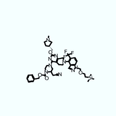 CN1CC[C@@H](COc2nc3c(c(N4CCN(C(=O)OCc5ccccc5)C(CC#N)C4)n2)CCN(c2c(C(F)(F)F)ccc4c2cnn4COCC[Si](C)(C)C)C3)C1